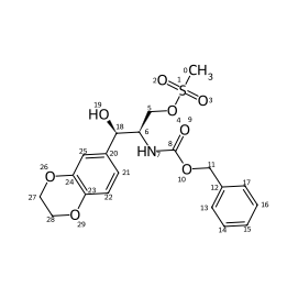 CS(=O)(=O)OC[C@@H](NC(=O)OCc1ccccc1)[C@H](O)c1ccc2c(c1)OCCO2